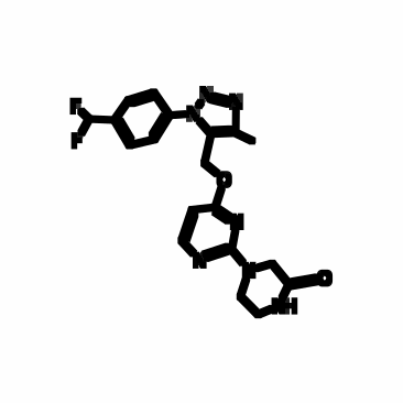 Cc1nnn(-c2ccc(C(F)F)cc2)c1COc1ccnc(N2CCNC(=O)C2)n1